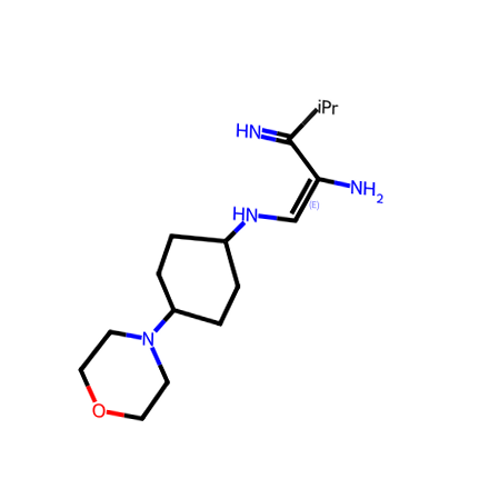 CC(C)C(=N)/C(N)=C\NC1CCC(N2CCOCC2)CC1